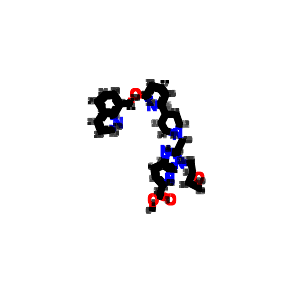 COC(=O)c1ccc2nc(CN3CCC(c4cccc(OCc5cccc6cccnc56)n4)CC3)n(CC3CCO3)c2n1